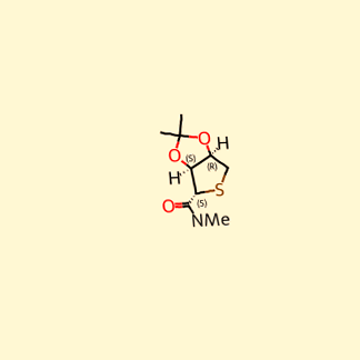 CNC(=O)[C@H]1SC[C@@H]2OC(C)(C)O[C@@H]21